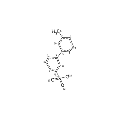 Cc1cccc(-c2cccc(S(=O)(=O)Cl)c2)c1